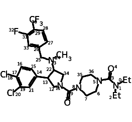 CCN(CC)C(=O)N1CCN(C(=O)N2CC(c3ccc(Cl)c(Cl)c3)C(N(C)Cc3ccc(C(F)(F)F)c(F)c3)C2)CC1